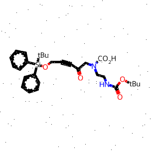 CC(C)(C)OC(=O)NCCN(CC(=O)C#CCO[Si](c1ccccc1)(c1ccccc1)C(C)(C)C)C(=O)O